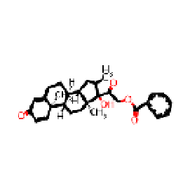 CC1C[C@H]2[C@@H]3CCC4=CC(=O)C=C[C@]4(C)[C@H]3CC[C@]2(C)[C@@]1(O)C(=O)COC(=O)c1ccccc1